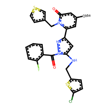 COc1cc(-c2cc(NCc3ccc(Cl)s3)n(C(=O)c3ccccc3F)n2)n(Cc2ccsc2)c(=O)c1